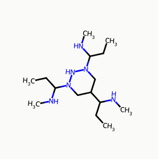 CCC(NC)C1CN(C(CC)NC)NN(C(CC)NC)C1